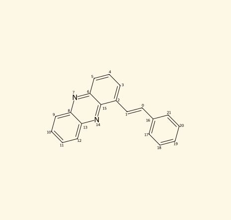 C(=Cc1cccc2nc3ccccc3nc12)c1ccccc1